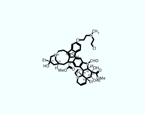 CC[C@]1(O)C[C@H]2C[N@](CCc3c([nH]c4ccccc34)[C@@](C(=O)OC)(c3cc4c(cc3OC)N(C=O)[C@H]3[C@@](O)(C(=O)OC)[C@H](OC(C)=O)[C@]5(CC)C=CCN6CC[C@]43[C@@H]65)C2)C1.CN(CCCl)CCCl